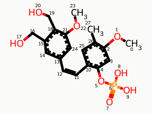 COc1cc(OP(=O)(O)O)c(/C=C\c2cc(CO)c(CO)c(OC)c2)cc1C